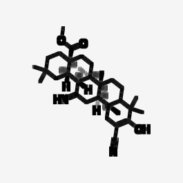 COC(=O)[C@]12CCC(C)(C)C[C@H]1[C@H]1C(=N)C[C@@H]3[C@@]4(C)CC(C#N)=C(O)C(C)(C)C4CC[C@@]3(C)[C@]1(C)CC2